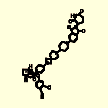 N#Cc1ccc(O[C@H]2C[C@H]3CC[C@@H](C2)N3C(=O)c2ccc(N3CC4(CCN(C5CCN(c6ccc7c(c6)C(=O)N(C6CCC(=O)NC6=O)C7=O)CC5)CC4)C3)cc2)cc1Cl